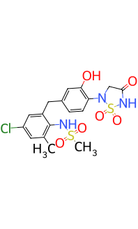 Cc1cc(Cl)cc(Cc2ccc(N3CC(=O)NS3(=O)=O)c(O)c2)c1NS(C)(=O)=O